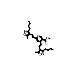 CCCCc1noc(C)c1C=Cc1cc(C=Cc2c(CCCC)noc2C)c(C(=O)OC)cn1